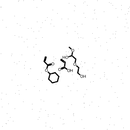 C=CC(=O)O.C=CC(=O)OC1CCCCC1.COC(O)COCCO